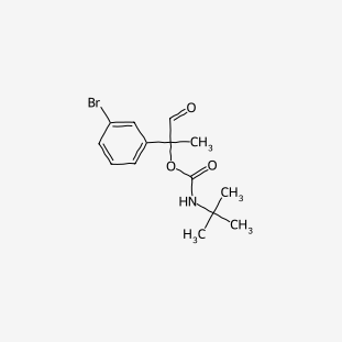 CC(C)(C)NC(=O)OC(C)(C=O)c1cccc(Br)c1